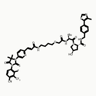 Cc1ncsc1-c1ccc(CNC(=O)[C@@H]2C[C@@H](O)CN2C(=O)[C@@H](NC(=O)COCCCCNC(=O)/C=C/c2ccc(N3C(=S)N(c4ccc(C#N)c(C(F)(F)F)c4F)C(=O)C3(C)C)cn2)C(C)(C)C)cc1